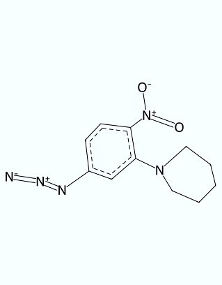 [N-]=[N+]=Nc1ccc([N+](=O)[O-])c(N2CCCCC2)c1